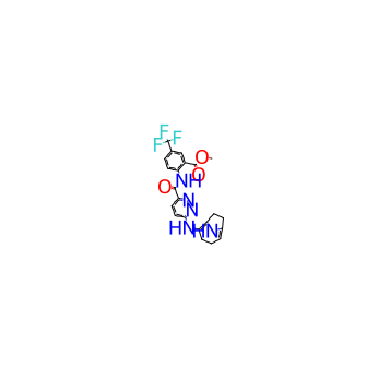 COC(=O)c1cc(C(F)(F)F)ccc1NC(=O)c1ccc(NC2=C3CCC(=CCC2)N3)nn1